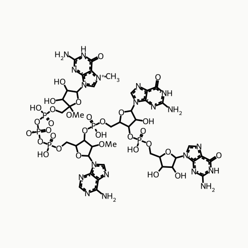 COC1C(OP(=O)(O)OCC2OC(n3cnc4c(=O)[nH]c(N)nc43)C(O)C2OP(=O)(O)OCC2OC(n3cnc4c(=O)[nH]c(N)nc43)C(O)C2O)C(COP(=O)(O)OP(=O)([O-])OP(=O)(O)OCC2(OC)OC(n3c[n+](C)c4c(=O)[nH]c(N)nc43)C(O)C2O)OC1n1cnc2c(N)ncnc21